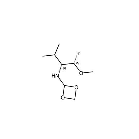 CO[C@@H](C)[C@H](NC1OCO1)C(C)C